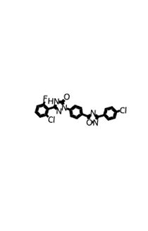 O=c1[nH]c(-c2c(F)cccc2Cl)nn1-c1ccc(-c2nc(-c3ccc(Cl)cc3)no2)cc1